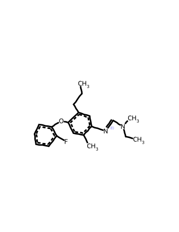 CCCc1cc(/N=C/N(C)CC)c(C)cc1Oc1ccccc1F